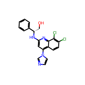 OC[C@H](Nc1cc(-n2ccnc2)c2ccc(Cl)c(Cl)c2n1)c1ccccc1